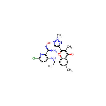 Cc1cc(C(C)Nc2ccc(Cl)nc2C(N)=NO)c2oc(-c3cnn(C)n3)c(C)c(=O)c2c1